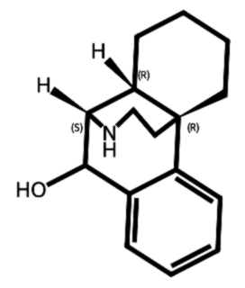 OC1c2ccccc2[C@@]23CCCC[C@H]2[C@@H]1NCC3